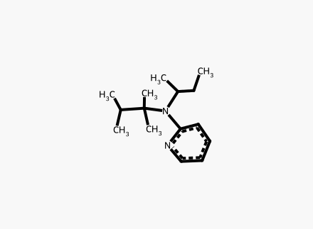 CCC(C)N(c1ccccn1)C(C)(C)C(C)C